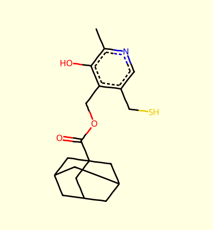 Cc1ncc(CS)c(COC(=O)C23CC4CC(CC(C4)C2)C3)c1O